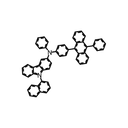 c1ccc(-c2c3ccccc3c(-c3ccc(N(c4ccccc4)c4ccc5c(c4)c4ccccc4n5-c4cccc5ccccc45)cc3)c3ccccc23)cc1